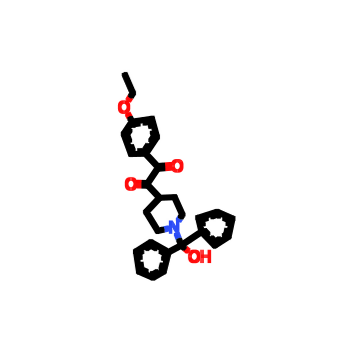 CCOc1ccc(C(=O)C(=O)C2CCN(C(O)(c3ccccc3)c3ccccc3)CC2)cc1